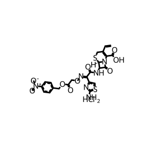 C=CC1=C(C(=O)O)N2C(=O)C(NC(=O)/C(=N/OCC(=O)OCc3ccc([N+](=O)[O-])cc3)c3csc(N)n3)[C@H]2SC1.Cl